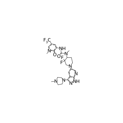 CN1CCN(c2n[nH]c3ncc(N4CCC(N(C)C(=O)Nc5cc(C(F)(F)F)cn(C)c5=O)C(F)(F)C4)cc23)CC1